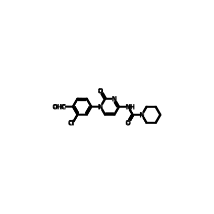 O=Cc1ccc(-n2ccc(NC(=O)N3CCCCC3)nc2=O)cc1Cl